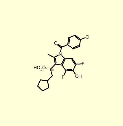 Cc1c([C@H](CC2CCCC2)C(=O)O)c2c(F)c(O)c(F)cc2n1C(=O)c1ccc(Cl)cc1